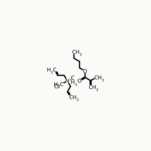 C=C(C)C(=O)OCCCC.C=CC[N+](C)(C)CC=C.[Cl-]